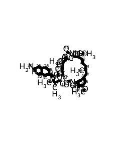 COc1cc2cc(c1Cl)N(C)C(=O)C[C@H](OC(=O)[C@H](C)N(C)C(=O)c1ccc3cc(N)ncc3c1)[C@]1(C)O[C@H]1[C@H](C)[C@@H]1C[C@@](O)(NC(=O)O1)[C@H](OC)/C=C/C=C(\C)C2